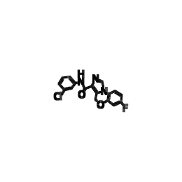 O=C(Nc1cccc(Cl)c1)c1ncn2c1COc1cc(F)ccc1-2